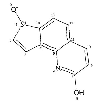 [O-][s+]1ccc2c3nc(O)ccc3ccc21